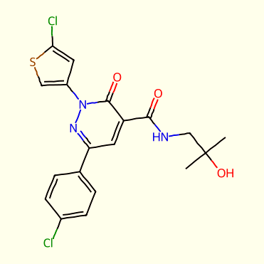 CC(C)(O)CNC(=O)c1cc(-c2ccc(Cl)cc2)nn(-c2csc(Cl)c2)c1=O